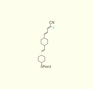 CCCCC[C@H]1CC[C@H](/C=C/C2CCC(C=CC=C(F)C#N)CC2)CC1